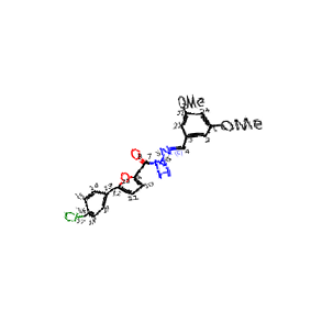 COc1cc(/C=N/NC(=O)c2ccc(-c3ccc(Cl)cc3)o2)cc(OC)c1